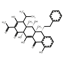 CC(=O)C1=C(O)C(C(C)C)[C@@]2(C)[C@H](O)[C@]3(C)C(=C(O)[C@@]2(O)C1=O)C(=O)c1c(O)cccc1[C@H]3CCc1ccccc1